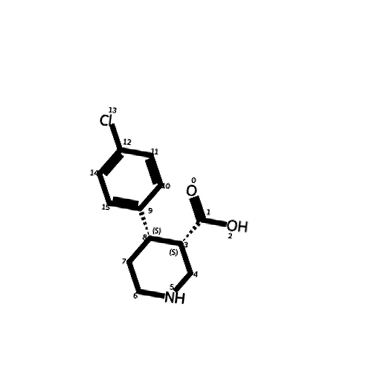 O=C(O)[C@@H]1CNCC[C@@H]1c1ccc(Cl)cc1